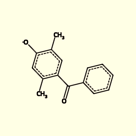 Cc1cc(C(=O)c2ccccc2)c(C)cc1[O]